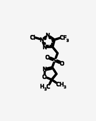 CC1(C)CC(S(=O)(=O)Cc2nn(Cl)nc2C(F)(F)F)=NO1